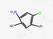 CCCc1cc(C#N)c(N)cc1Cl